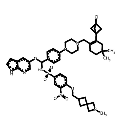 CN1CC2(CC(COc3ccc(S(=O)(=O)NC(Oc4cnc5[nH]ccc5c4)c4ccc(N5CCN(CC6=C(C78CC(Cl)(C7)C8)CC(C)(C)CC6)CC5)cc4)cc3[N+](=O)[O-])C2)C1